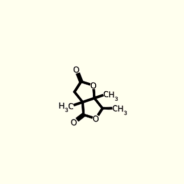 CC1OC(=O)C2(C)CC(=O)OC12C